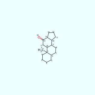 CC12CCCCC1CCC1C3CCCC3C(=O)CC12